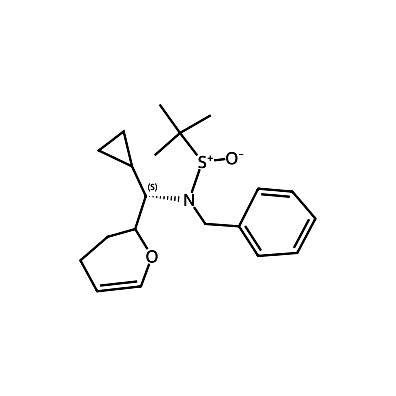 CC(C)(C)[S+]([O-])N(Cc1ccccc1)[C@@H](C1CC1)C1CCC=CO1